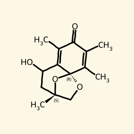 CC1=C(C)[C@]23OC[C@](C)(CC(O)C2=C(C)C1=O)O3